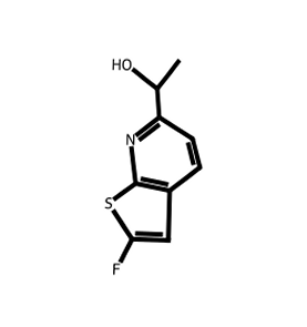 CC(O)c1ccc2cc(F)sc2n1